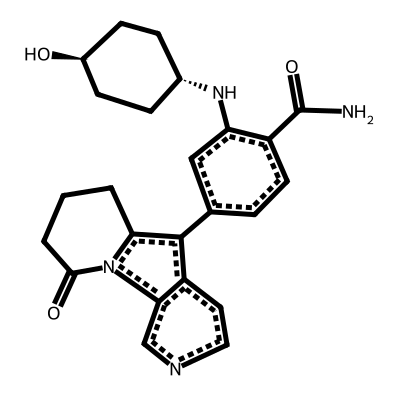 NC(=O)c1ccc(-c2c3n(c4cnccc24)C(=O)CCC3)cc1N[C@H]1CC[C@H](O)CC1